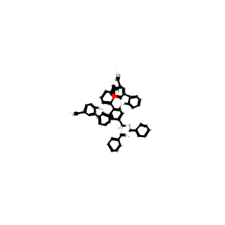 N#Cc1ccc2c(c1)c1ccccc1n2-c1ccc(C(F)(F)F)cc1-c1ccc(-c2nc(-c3ccccc3)nc(-c3ccccc3)n2)cc1-n1c2ccccc2c2cc(C#N)ccc21